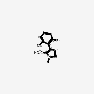 Cn1cnc(-c2c(F)cccc2Cl)c1C(=O)O